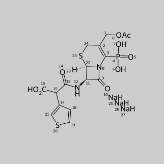 CC(=O)OCC1=C(P(=O)(O)O)N2C(=O)[C@@H](NC(=O)C(C(=O)O)c3ccsc3)[C@H]2SC1.[NaH].[NaH].[NaH]